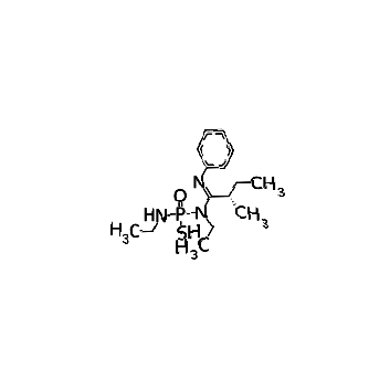 CCNP(=O)(S)N(CC)C(=Nc1ccccc1)[C@@H](C)CC